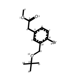 COC(=O)Cc1ccc(Br)c(COC(C)(C)C)c1